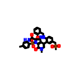 Cc1ccc(S(=O)(=O)n2ccc3c(-c4cc(CS(C)(=O)=O)ccc4NCc4ccccc4OCC(N)=O)cn(C)c(=O)c32)cc1